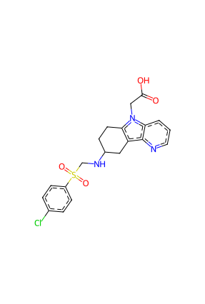 O=C(O)Cn1c2c(c3ncccc31)CC(NCS(=O)(=O)c1ccc(Cl)cc1)CC2